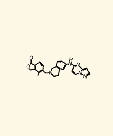 Cc1c(CN2CCc3cc(Nc4ccn5nccc5n4)ccc3C2)ccc2c1COC2=O